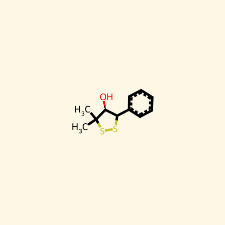 CC1(C)SSC(c2ccccc2)[C@@H]1O